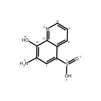 Nc1cc(S(=O)O)c2cccnc2c1O